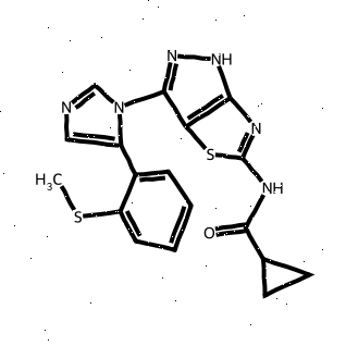 CSc1ccccc1-c1cncn1-c1n[nH]c2nc(NC(=O)C3CC3)sc12